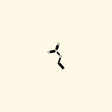 C=COP(=O)=O